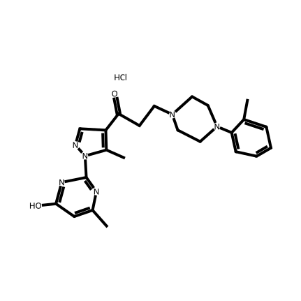 Cc1cc(O)nc(-n2ncc(C(=O)CCN3CCN(c4ccccc4C)CC3)c2C)n1.Cl